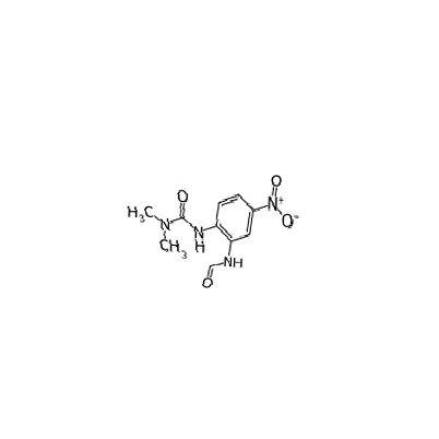 CN(C)C(=O)Nc1ccc([N+](=O)[O-])cc1NC=O